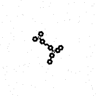 C(=C\c1ccc(N(c2ccc(-c3ccccc3)cc2)c2ccc3ccccc3c2)cc1)/c1ccc(N(c2ccccc2)c2ccccc2)cc1